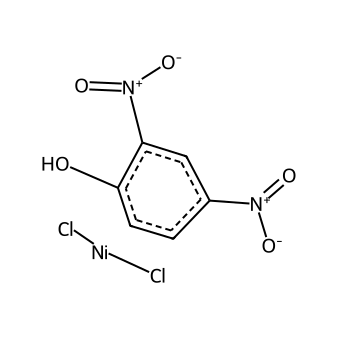 O=[N+]([O-])c1ccc(O)c([N+](=O)[O-])c1.[Cl][Ni][Cl]